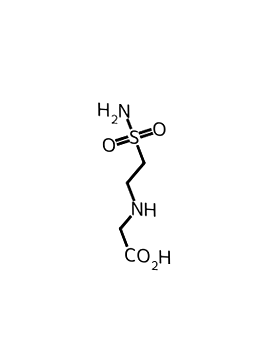 NS(=O)(=O)CCNCC(=O)O